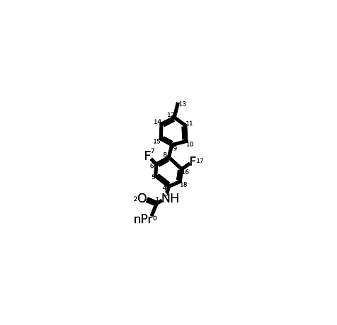 CCCC(=O)Nc1cc(F)c(-c2ccc(C)cc2)c(F)c1